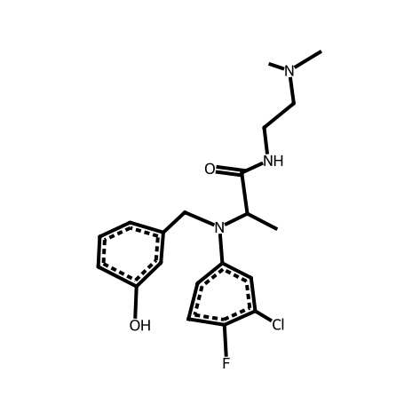 CC(C(=O)NCCN(C)C)N(Cc1cccc(O)c1)c1ccc(F)c(Cl)c1